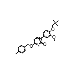 COc1cc(-n2ccc(OCc3ccc(C)cc3)nc2=O)ccc1OCC(C)(C)C